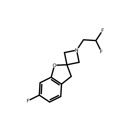 Fc1ccc2c(c1)OC1(C2)CN(CC(F)F)C1